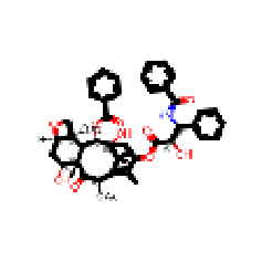 CC(=O)O[C@H]1C(=O)[C@@]2(C)C([C@H](OC(=O)c3ccccc3)[C@]3(O)CC(OC(=O)[C@H](O)[C@@H](NC(=O)c4ccccc4)c4ccccc4)C(C)=C1C3(C)C)[C@]1(OC(C)=O)CO[C@@H]1C[C@@H]2O